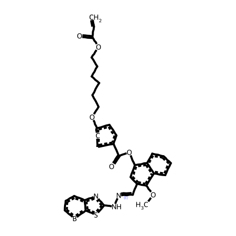 C=CC(=O)OCCCCCCOc1ccc(C(=O)Oc2cc(/C=N/Nc3nc4cccbc4s3)c(OC)c3ccccc23)cc1